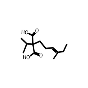 CCC(C)=CCCC(C(=O)O)(C(=O)O)C(C)C